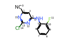 N#Cc1cc(Nc2ccccc2F)nc(Cl)n1